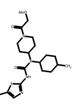 COCC(=O)N1CCC(N(C(=O)Nc2ncc(Cl)s2)C2CCC(C)CC2)CC1